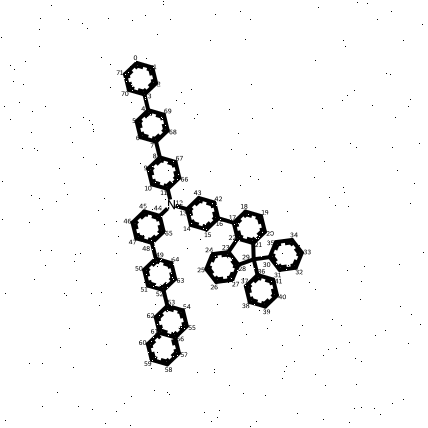 c1ccc(-c2ccc(-c3ccc(N(c4ccc(-c5cccc6c5-c5ccccc5C6(c5ccccc5)c5ccccc5)cc4)c4cccc(-c5ccc(-c6ccc7ccccc7c6)cc5)c4)cc3)cc2)cc1